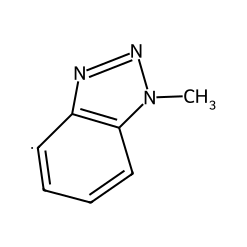 Cn1nnc2[c]cccc21